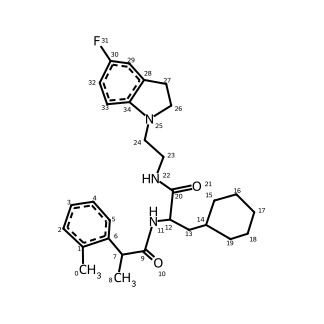 Cc1ccccc1C(C)C(=O)NC(CC1CCCCC1)C(=O)NCCN1CCc2cc(F)ccc21